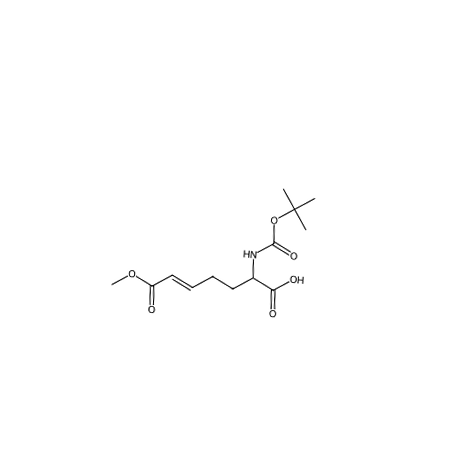 COC(=O)/C=C/CCC(NC(=O)OC(C)(C)C)C(=O)O